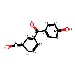 O=C=C1C=C(C(=O)C2=CCC(=O)C=C2)C=CC1